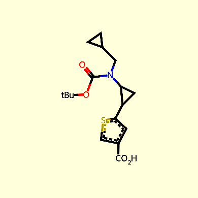 CC(C)(C)OC(=O)N(CC1CC1)C1CC1c1cc(C(=O)O)cs1